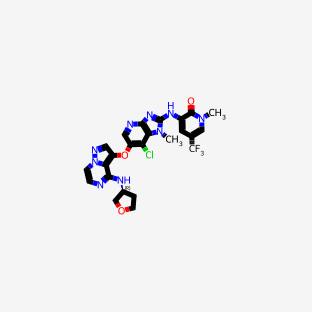 Cn1cc(C(F)(F)F)cc(Nc2nc3ncc(Oc4cnn5ccnc(N[C@@H]6CCOC6)c45)c(Cl)c3n2C)c1=O